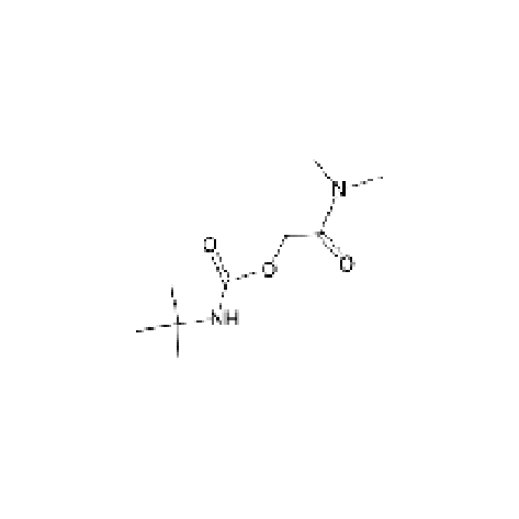 CN(C)C(=O)COC(=O)NC(C)(C)C